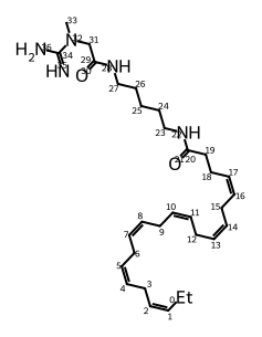 CC/C=C\C/C=C\C/C=C\C/C=C\C/C=C\C/C=C\CCC(=O)NCCCCCNC(=O)CN(C)C(=N)N